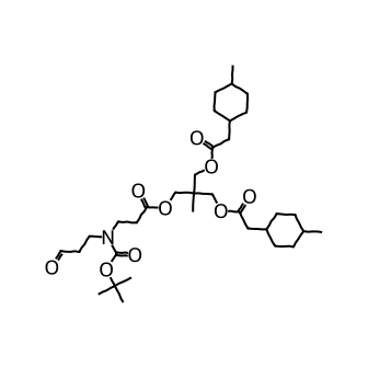 CC1CCC(CC(=O)OCC(C)(COC(=O)CCN(CCC=O)C(=O)OC(C)(C)C)COC(=O)CC2CCC(C)CC2)CC1